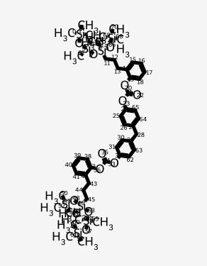 C[Si](C)(C)O[Si](C)(C)O[Si](C)(CCCc1ccccc1OC(=O)Oc1ccc(Cc2ccc(OC(=O)Oc3ccccc3CCC[Si](C)(O[Si](C)(C)C)O[Si](C)(C)O[Si](C)(C)C)cc2)cc1)O[Si](C)(C)C